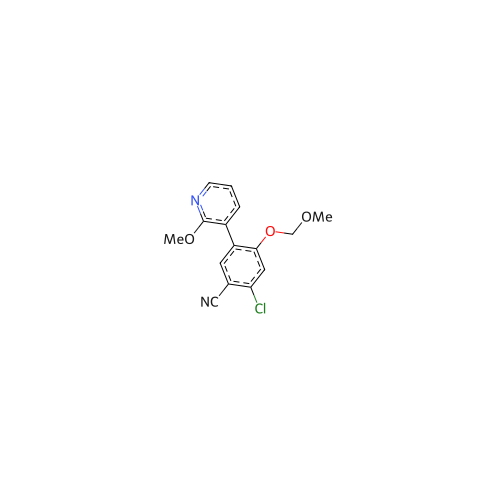 COCOc1cc(Cl)c(C#N)cc1-c1cccnc1OC